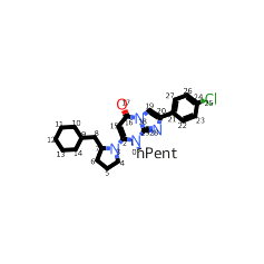 CCCCCn1c(N2CCCC2CC2CCCCC2)cc(=O)n2cc(-c3ccc(Cl)cc3)nc12